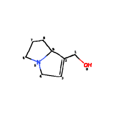 OCC1=CCN2CCCC12